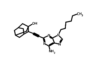 CCCCCCn1cnc2c(N)nc(C#CC3C4CC5CC(C4)CC3(O)C5)nc21